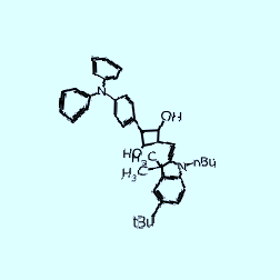 CCCCN1/C(=C/C2C(O)C(c3ccc(N(c4ccccc4)c4ccccc4)cc3)C2O)C(C)(C)c2cc(C(C)(C)C)ccc21